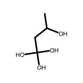 CC(O)CC(O)(O)O